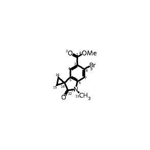 COC(=O)c1cc2c(cc1Br)N(C)C(=O)C21CC1